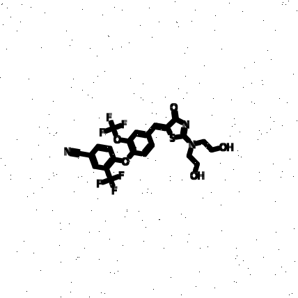 N#Cc1ccc(Oc2ccc(/C=C3\SC(N(CCO)CCO)=NC3=O)cc2OC(F)(F)F)c(C(F)(F)F)c1